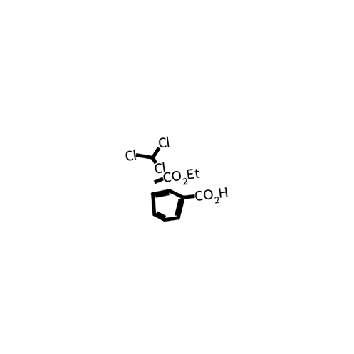 CCOC(C)=O.ClC(Cl)Cl.O=C(O)c1ccccc1